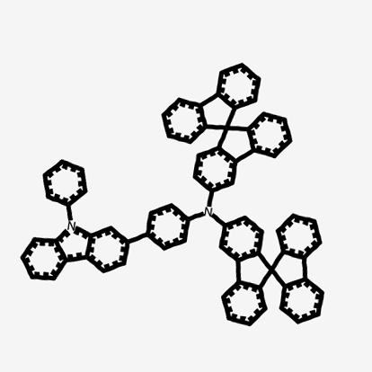 c1ccc(-n2c3ccccc3c3ccc(-c4ccc(N(c5ccc6c(c5)-c5ccccc5C65c6ccccc6-c6ccccc65)c5ccc6c(c5)-c5ccccc5C65c6ccccc6-c6ccccc65)cc4)cc32)cc1